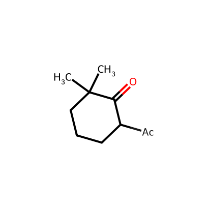 CC(=O)C1CCCC(C)(C)C1=O